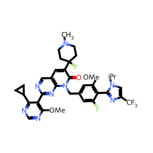 COc1cc(Cn2c(=O)c(C3(F)CCN(C)CC3)cc3cnc(-c4c(OC)ncnc4C4CC4)nc32)cc(F)c1-c1nc(C(F)(F)F)cn1C(C)C